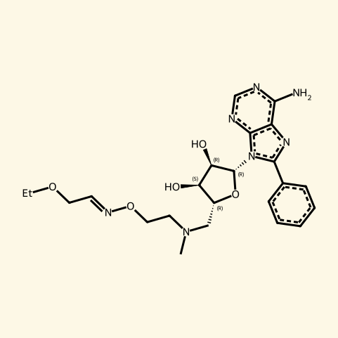 CCOCC=NOCCN(C)C[C@H]1O[C@@H](n2c(-c3ccccc3)nc3c(N)ncnc32)[C@H](O)[C@@H]1O